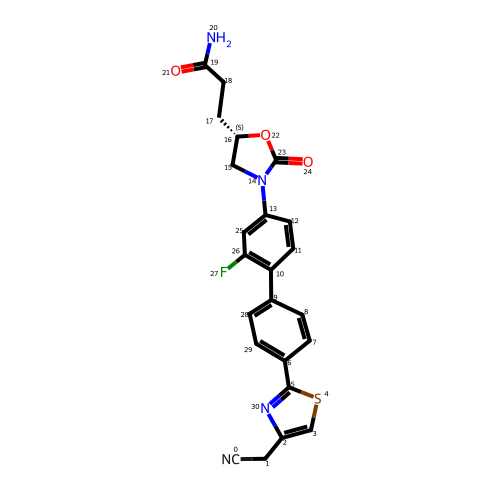 N#CCc1csc(-c2ccc(-c3ccc(N4C[C@H](CCC(N)=O)OC4=O)cc3F)cc2)n1